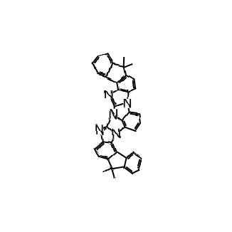 CC1(C)c2ccccc2-c2c1ccc1c2nc2n1c1cccc3c1n2c1nc2ccc4c(c2n31)-c1ccccc1C4(C)C